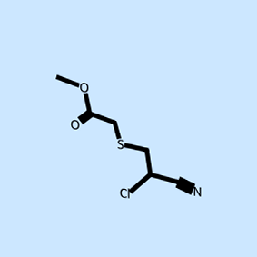 COC(=O)CSCC(Cl)C#N